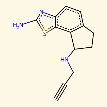 C#CCNC1CCc2ccc3nc(N)sc3c21